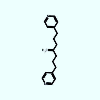 C=C(CCCc1ccncc1)CCCc1ccncc1